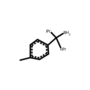 BC(CCC)(c1ccc(C)cc1)C(C)C